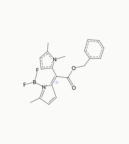 CC1=[N+](B(F)F)/C(=C(/C(=O)OCc2ccccc2)c2ccc(C)n2C)C=C1